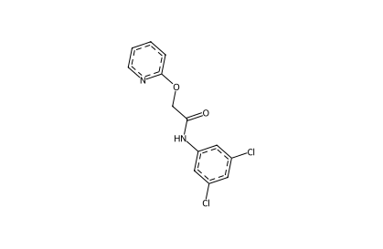 O=C(COc1ccccn1)Nc1cc(Cl)cc(Cl)c1